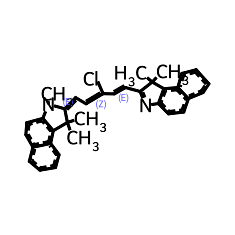 CN1/C(=C/C=C(Cl)/C=C/C2=Nc3ccc4ccccc4c3C2(C)C)C(C)(C)c2c1ccc1ccccc21